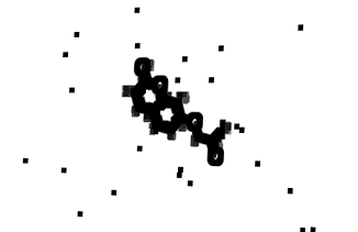 O=C(I)COc1ccc2ccc(=O)oc2c1